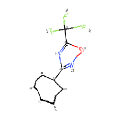 FC(F)(F)c1nc(C2CCCCC2)no1